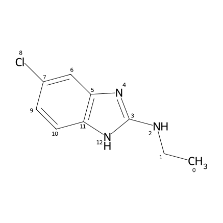 CCNc1nc2cc(Cl)ccc2[nH]1